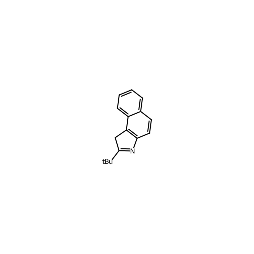 CC(C)(C)C1=Nc2ccc3ccccc3c2C1